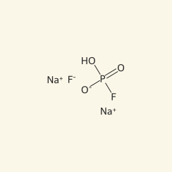 O=P([O-])(O)F.[F-].[Na+].[Na+]